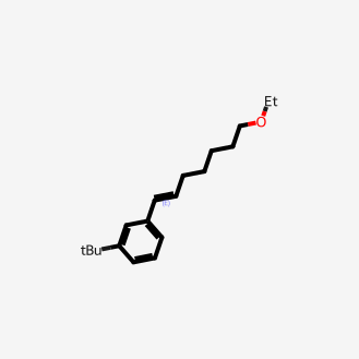 CCOCCCCC/C=C/c1cccc(C(C)(C)C)c1